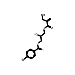 C=C(CO)C(=O)OCC(O)COC(=O)c1ccc(CC)cc1